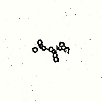 c1ccc(-n2c3ccccc3c3cc(-c4ccc5c(c4)c4cc6ccccc6cc4n5-c4cc5c6c(cccc6n4)-c4ccncc4-5)ccc32)cc1